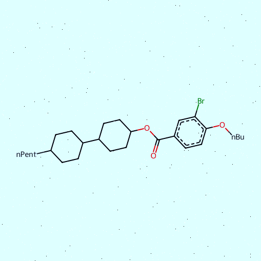 CCCCCC1CCC(C2CCC(OC(=O)c3ccc(OCCCC)c(Br)c3)CC2)CC1